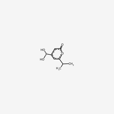 CC(C)c1cc(B(O)O)cc(=O)o1